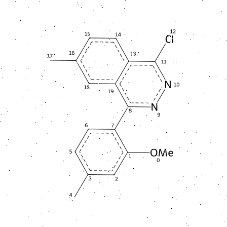 COc1cc(C)ccc1-c1nnc(Cl)c2ccc(C)cc12